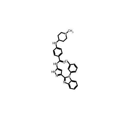 CN1CCC(Nc2ccc(C(=O)Nc3cc(-c4nc5ccccc5n4-c4cccc(Cl)c4)n[nH]3)cc2)CC1